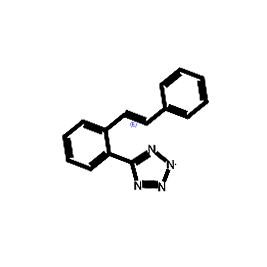 C(=C\c1ccccc1C1=N[N]N=N1)/c1ccccc1